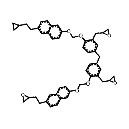 c1cc2cc(OCOc3ccc(Cc4ccc(OCOc5ccc6cc(CCC7CO7)ccc6c5)c(CC5CO5)c4)cc3CC3CO3)ccc2cc1CCC1CC1